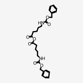 O=C(CCCCNC(=O)OCc1ccccc1)OC(=O)CCCCNC(=O)OCc1ccccc1